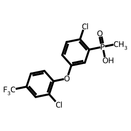 CP(=O)(O)c1cc(Oc2ccc(C(F)(F)F)cc2Cl)ccc1Cl